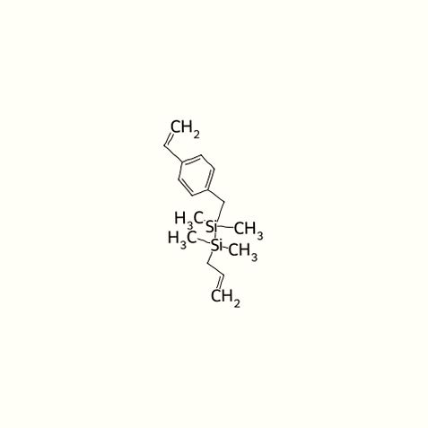 C=CC[Si](C)(C)[Si](C)(C)Cc1ccc(C=C)cc1